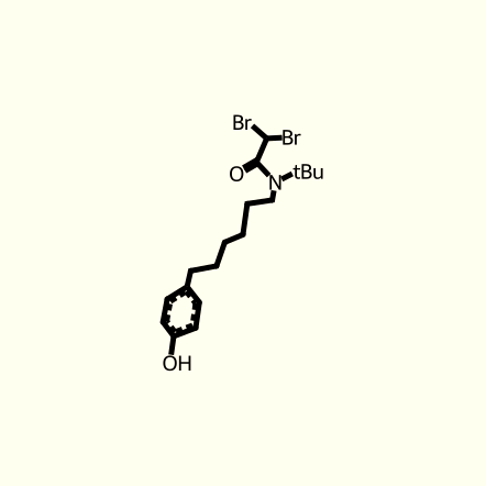 CC(C)(C)N(CCCCCCc1ccc(O)cc1)C(=O)C(Br)Br